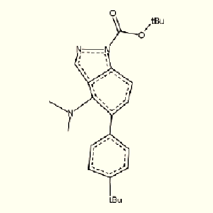 CN(C)c1c(-c2ccc(C(C)(C)C)cc2)ccc2c1cnn2C(=O)OC(C)(C)C